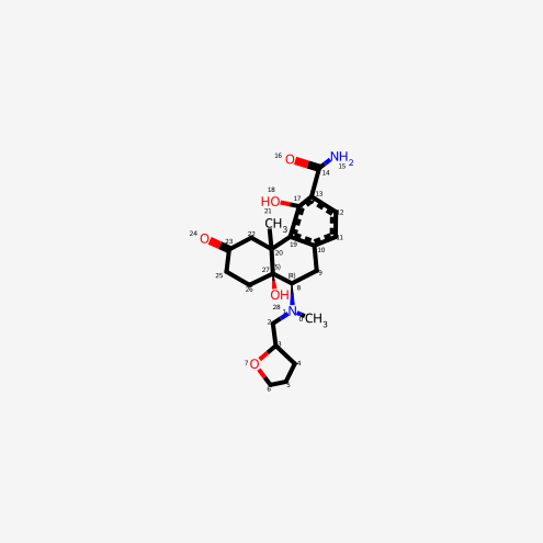 CN(CC1CCCO1)[C@@H]1Cc2ccc(C(N)=O)c(O)c2C2(C)CC(=O)CC[C@@]12O